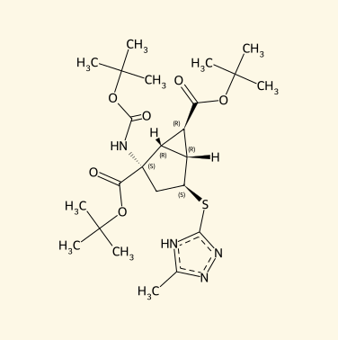 Cc1nnc(S[C@H]2C[C@@](NC(=O)OC(C)(C)C)(C(=O)OC(C)(C)C)[C@@H]3[C@@H](C(=O)OC(C)(C)C)[C@@H]32)[nH]1